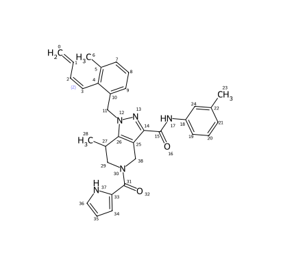 C=C/C=C\c1c(C)cccc1Cn1nc(C(=O)Nc2cccc(C)c2)c2c1C(C)CN(C(=O)c1ccc[nH]1)C2